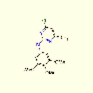 COc1cc(Nc2nc(C)cc(Cl)n2)cc(OC)c1OC